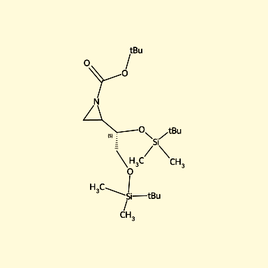 CC(C)(C)OC(=O)N1CC1[C@@H](CO[Si](C)(C)C(C)(C)C)O[Si](C)(C)C(C)(C)C